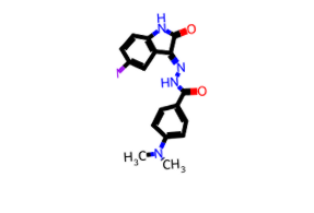 CN(C)c1ccc(C(=O)N/N=C2/C(=O)Nc3ccc(I)cc32)cc1